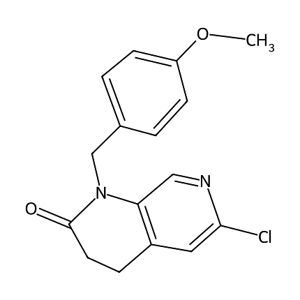 COc1ccc(CN2C(=O)CCc3cc(Cl)ncc32)cc1